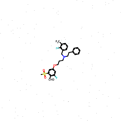 CS(=O)(=O)c1cc(OCCCN(CCc2ccccc2)Cc2cccc(C(F)(F)F)c2F)cc(F)c1C=O